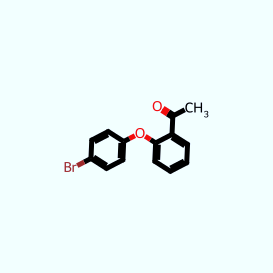 CC(=O)c1ccccc1Oc1ccc(Br)cc1